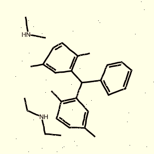 CCNCC.CNC.Cc1ccc(C)c(C(c2ccccc2)c2cc(C)ccc2C)c1